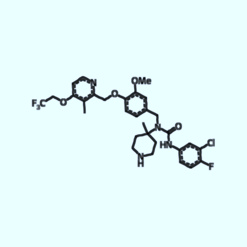 COc1cc(CN(C(=O)Nc2ccc(F)c(Cl)c2)C2(C)CCNCC2)ccc1OCc1nccc(OCC(F)(F)F)c1C